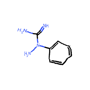 N=C(N)N(N)c1c[c]ccc1